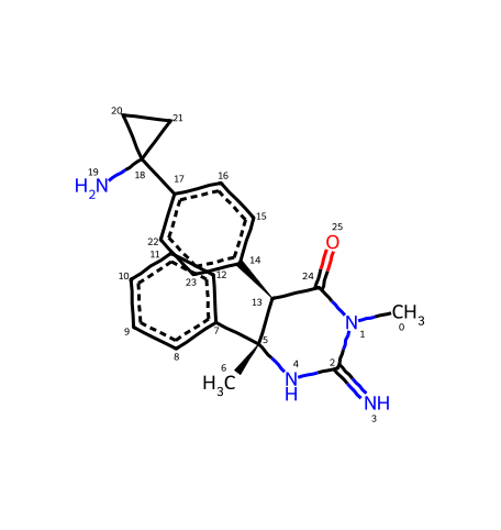 CN1C(=N)N[C@](C)(c2ccccc2)[C@@H](c2ccc(C3(N)CC3)cc2)C1=O